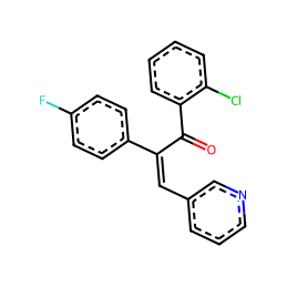 O=C(C(=Cc1cccnc1)c1ccc(F)cc1)c1ccccc1Cl